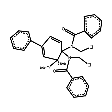 COC1(OC)C=C(c2ccccc2)C=CC1(N(CCl)C(=O)c1ccccc1)N(CCl)C(=O)c1ccccc1